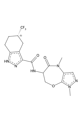 CN1C(=O)C(NC(=O)c2n[nH]c3c2C[C@@H](C(F)(F)F)CC3)COc2c1cnn2C